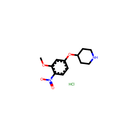 COc1cc(OC2CCNCC2)ccc1[N+](=O)[O-].Cl